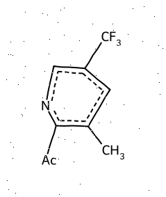 CC(=O)c1ncc(C(F)(F)F)cc1C